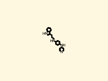 c1ccc2c(CCCNc3ccc(Nc4ccncc4)cc3)c[nH]c2c1